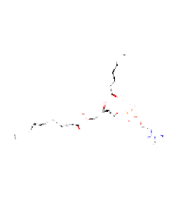 CCCCCCCCCCCCCCCC(=O)OC[C@H](COP(=O)(O)OCC[N+](C)(C)C)OC(=O)CCCCCCCCCCCCCC